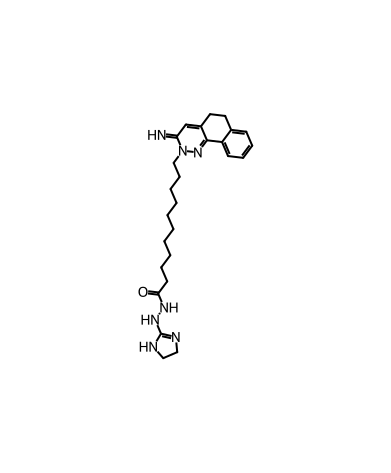 N=c1cc2c(nn1CCCCCCCCCCC(=O)NNC1=NCCN1)-c1ccccc1CC2